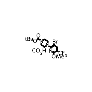 COc1nc(N2CCN(C(=O)OC(C)(C)C)CC2C(=O)O)c(Br)cc1C(F)(F)F